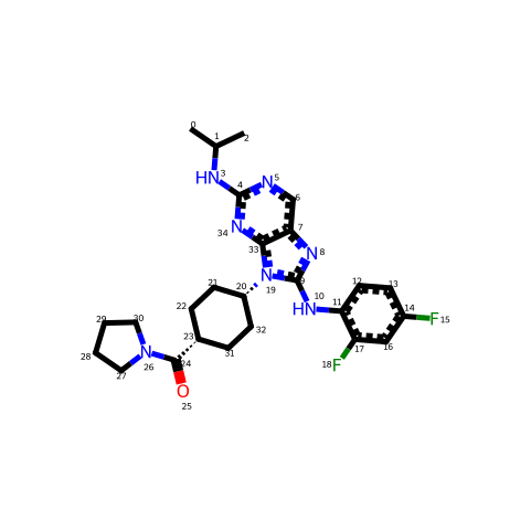 CC(C)Nc1ncc2nc(Nc3ccc(F)cc3F)n([C@H]3CC[C@@H](C(=O)N4CCCC4)CC3)c2n1